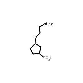 CCCCCCCCOC1CCC(C(=O)O)C1